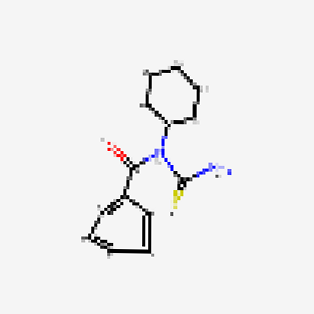 NC(=S)N(C(=O)c1ccccc1)C1CCCCC1